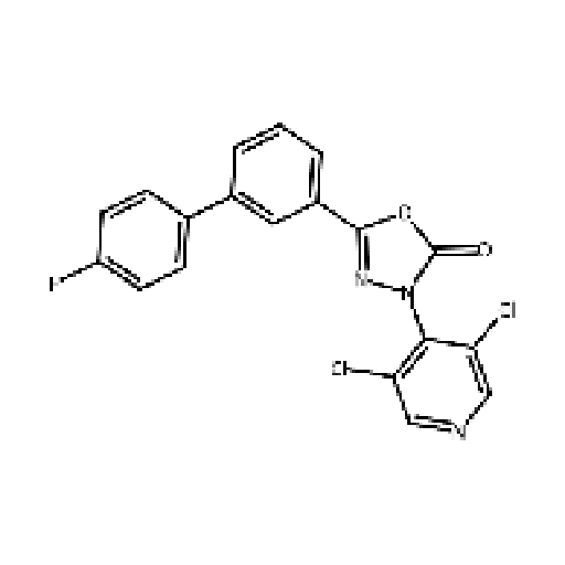 O=c1oc(-c2cccc(-c3ccc(F)cc3)c2)nn1-c1c(Cl)cncc1Cl